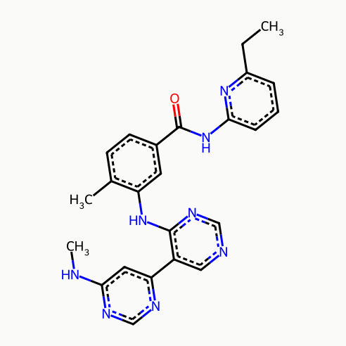 CCc1cccc(NC(=O)c2ccc(C)c(Nc3ncncc3-c3cc(NC)ncn3)c2)n1